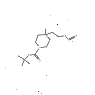 CC1(CCOC=O)CCN(C(=O)OC(C)(C)C)CC1